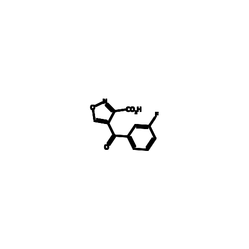 O=C(c1cccc(F)c1)c1conc1C(=O)O